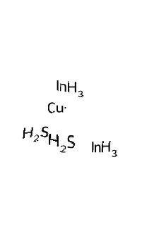 S.S.[Cu].[InH3].[InH3]